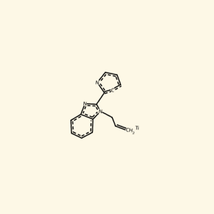 C=CCn1c(-c2ccccn2)nc2ccccc21.[Ti]